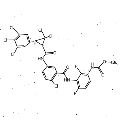 CC(C)(C)OC(=O)Nc1ccc(F)c(NC(=O)c2cc(NC(=O)C3[C@H](c4cc(Cl)c(Cl)c(Cl)c4)C3(Cl)Cl)ccc2Cl)c1F